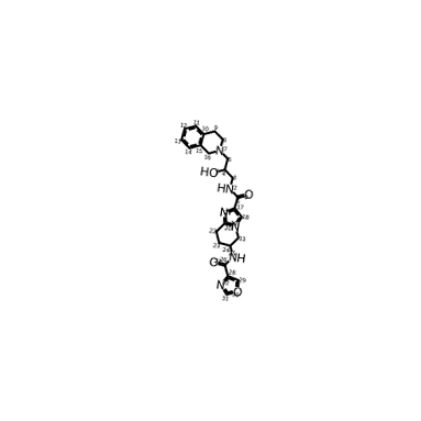 O=C(NCC(O)CN1CCc2ccccc2C1)c1cn2c(n1)CCC(NC(=O)c1cocn1)C2